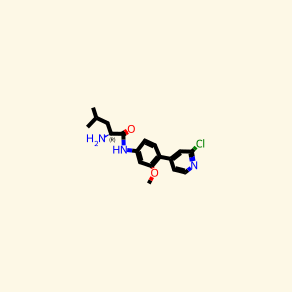 COc1cc(NC(=O)[C@H](N)CC(C)C)ccc1-c1ccnc(Cl)c1